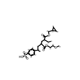 CCC(CC(CC(C)c1ccc(S(=O)(=O)O)cc1)C(=O)OCCOC)C(=O)OCC1CC1